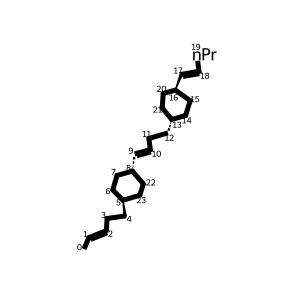 CC=CCC[C@H]1CC[C@H](C=CCC[C@H]2CC[C@H](C=CCCC)CC2)CC1